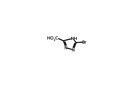 O=C(O)c1nnc(Br)[nH]1